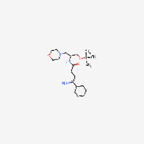 CC(C)(C)OCC(CN1CCOCC1)NC(=O)CC[C@H](N)C1CCCCC1